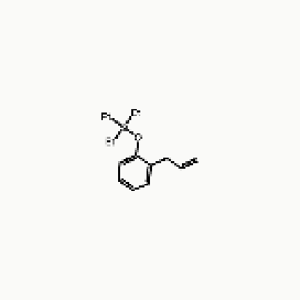 C=CCc1ccccc1O[Si](CC)(CC)CC